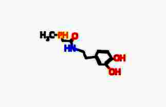 CPCC(=O)NCCc1ccc(O)c(O)c1